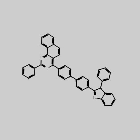 c1ccc(-c2nc(-c3ccc(-c4ccc(C5=Nc6ccccc6C5c5ccccc5)cc4)cc3)c3ccc4ccccc4c3n2)cc1